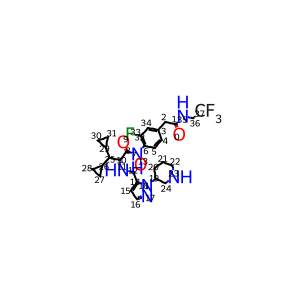 O=C(Cc1ccc(NC(=O)C(NC(=O)c2ccnn2C2CCCNC2)C(C2CC2)C2CC2)c(F)c1)NCC(F)(F)F